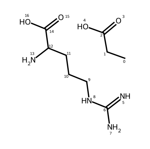 CCC(=O)O.N=C(N)NCCCC(N)C(=O)O